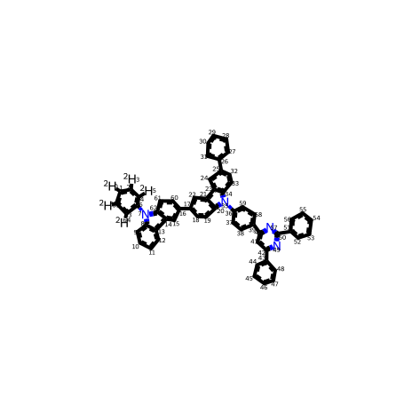 [2H]c1c([2H])c([2H])c(-n2c3ccccc3c3cc(-c4ccc5c(c4)c4cc(-c6ccccc6)ccc4n5-c4ccc(-c5cc(-c6ccccc6)nc(-c6ccccc6)n5)cc4)ccc32)c([2H])c1[2H]